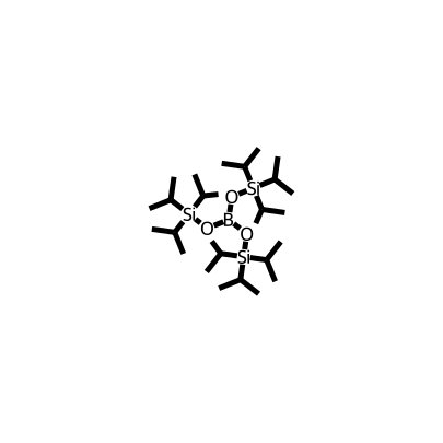 CC(C)[Si](OB(O[Si](C(C)C)(C(C)C)C(C)C)O[Si](C(C)C)(C(C)C)C(C)C)(C(C)C)C(C)C